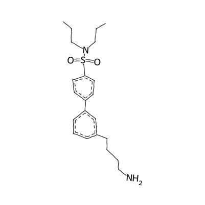 CCCN(CCC)S(=O)(=O)c1ccc(-c2cccc(CCCCN)c2)cc1